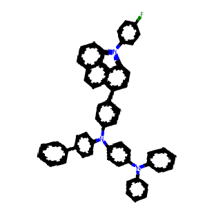 Fc1ccc(-n2c3cccc4ccc5c(-c6ccc(N(c7ccc(-c8ccccc8)cc7)c7ccc(N(c8ccccc8)c8ccccc8)cc7)cc6)ccc2c5c43)cc1